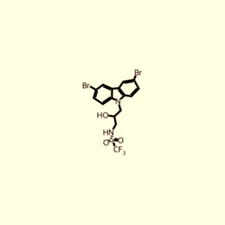 O=S(=O)(NCC(O)Cn1c2ccc(Br)cc2c2cc(Br)ccc21)C(F)(F)F